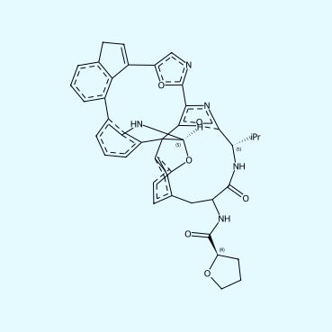 CC(C)[C@@H]1NC(=O)C(NC(=O)[C@H]2CCCO2)Cc2ccc3c(c2)C24c5cccc(c5N[C@H]2O3)-c2cccc3c2C(=CC3)c2cnc(o2)-c2nc1oc24